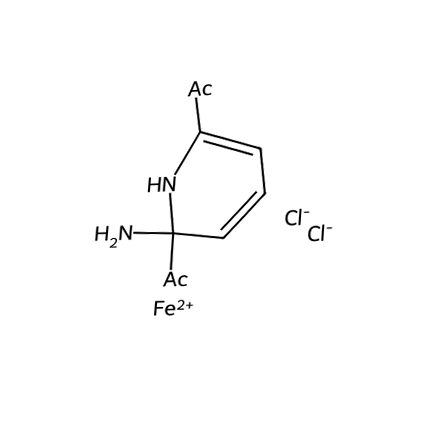 CC(=O)C1=CC=CC(N)(C(C)=O)N1.[Cl-].[Cl-].[Fe+2]